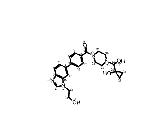 O=C(c1ccc(-c2ccc3ncn(CCO)c3c2)cc1)N1CCN(C(O)C2(O)CC2)CC1